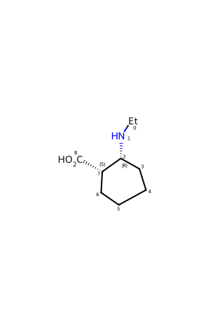 CCN[C@@H]1CCCC[C@@H]1C(=O)O